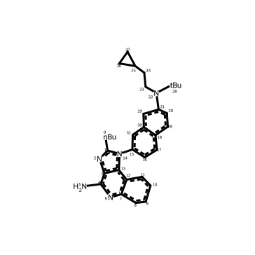 CCCCc1nc2c(N)nc3ccccc3c2n1-c1ccc2ccc(N(CCC3CC3)C(C)(C)C)cc2c1